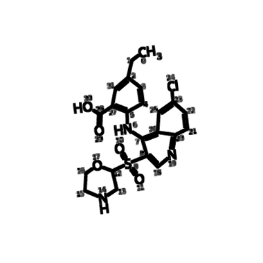 CCc1ccc(Nc2c(S(=O)(=O)C3CNCCO3)cnc3ccc(Cl)cc23)c(C(=O)O)c1